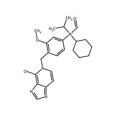 COc1cc([N+](C=O)(C(C)C)C2CCCCC2)ccc1Cn1ccc2ncnc-2c1Cl